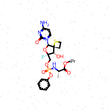 CC(C)OC(=O)[C@H](C)NP(=O)(OC[C@@]1(F)O[C@@H](n2ccc(N)nc2=O)[C@@]2(CCS2)[C@@H]1O)Oc1ccccc1